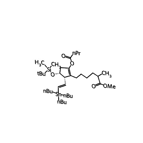 CCC[CH2][Sn](/[CH]=C/[C@H]1C(CCCCC(C)C(=O)OC)=C(OC(=O)CCC)C[C@H]1O[Si](C)(C)C(C)(C)C)([CH2]CCC)[CH2]CCC